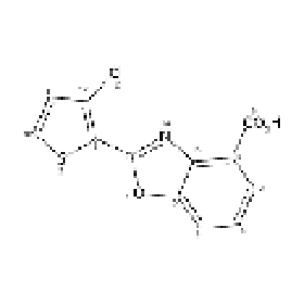 O=C(O)c1cccc2oc(-c3sccc3Cl)nc12